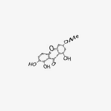 COc1cc(O)c2c(=O)c3c(O)c(O)ccc3oc2c1